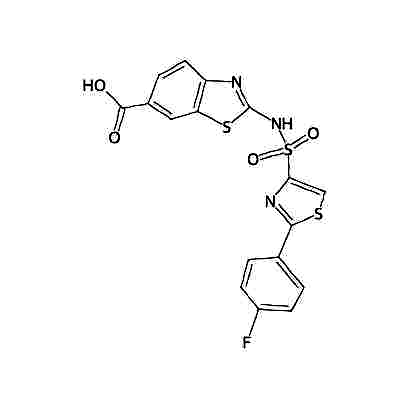 O=C(O)c1ccc2nc(NS(=O)(=O)c3csc(-c4ccc(F)cc4)n3)sc2c1